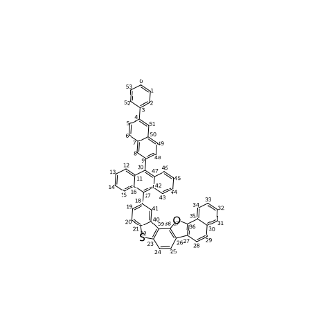 c1ccc(-c2ccc3cc(-c4c5ccccc5c(-c5ccc6sc7ccc8c9ccc%10ccccc%10c9oc8c7c6c5)c5ccccc45)ccc3c2)cc1